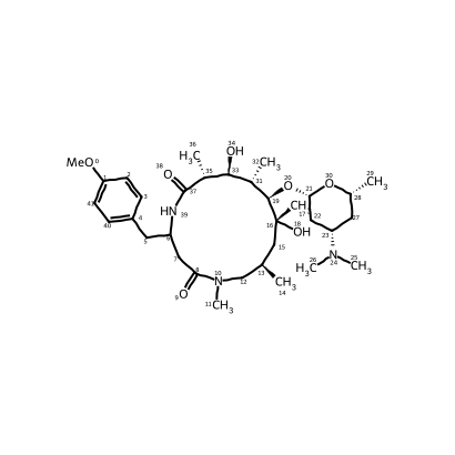 COc1ccc(CC2CC(=O)N(C)C[C@H](C)C[C@@](C)(O)[C@H](O[C@H]3C[C@@H](N(C)C)C[C@@H](C)O3)[C@@H](C)[C@H](O)[C@@H](C)C(=O)N2)cc1